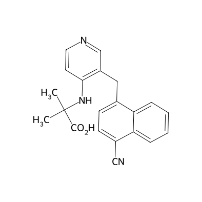 CC(C)(Nc1ccncc1Cc1ccc(C#N)c2ccccc12)C(=O)O